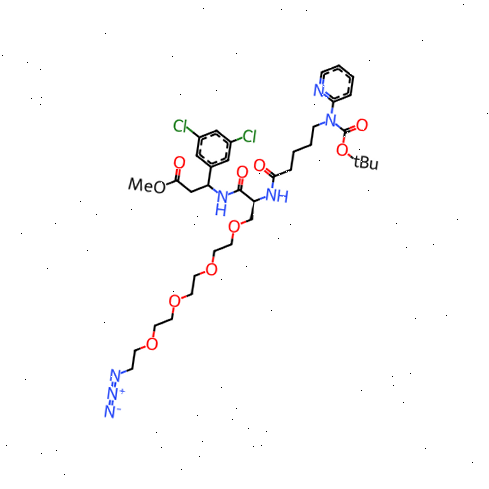 COC(=O)CC(NC(=O)[C@H](COCCOCCOCCOCCN=[N+]=[N-])NC(=O)CCCCN(C(=O)OC(C)(C)C)c1ccccn1)c1cc(Cl)cc(Cl)c1